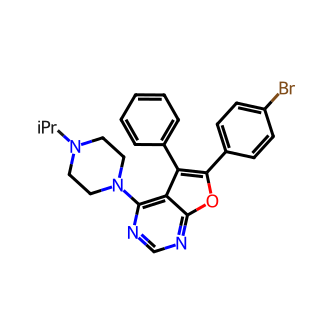 CC(C)N1CCN(c2ncnc3oc(-c4ccc(Br)cc4)c(-c4ccccc4)c23)CC1